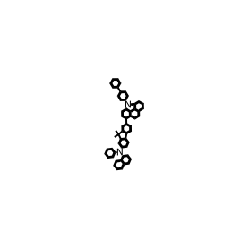 CC1(C)c2cc(-c3ccc4c5c3ccc3cccc(c35)n4-c3ccc(-c4ccccc4)cc3)ccc2-c2ccc(N(c3ccccc3)c3cccc4ccccc34)cc21